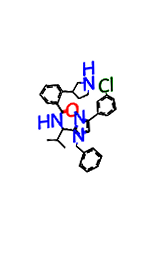 CC(C)[C@@H](NC(=O)c1ccccc1C1CCNC1)c1nc(-c2cccc(Cl)c2)cn1Cc1ccccc1